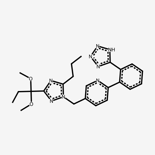 CCCc1nc(C(CC)(OC)OC)nn1Cc1ccc(-c2ccccc2-c2nnn[nH]2)nc1